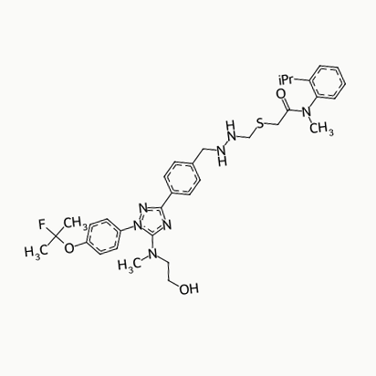 CC(C)c1ccccc1N(C)C(=O)CSCNNCc1ccc(-c2nc(N(C)CCO)n(-c3ccc(OC(C)(C)F)cc3)n2)cc1